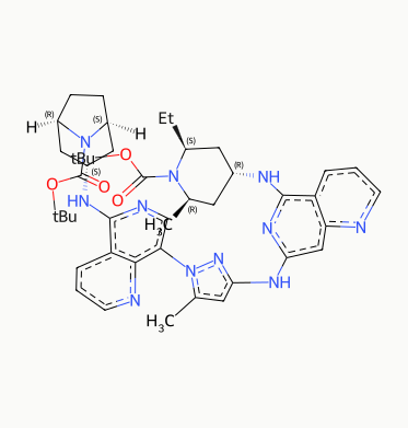 CC[C@H]1C[C@H](Nc2nc(Nc3cc(C)n(-c4cnc(N[C@@H]5C[C@H]6CC[C@@H](C5)N6C(=O)OC(C)(C)C)c5cccnc45)n3)cc3ncccc23)C[C@@H](C)N1C(=O)OC(C)(C)C